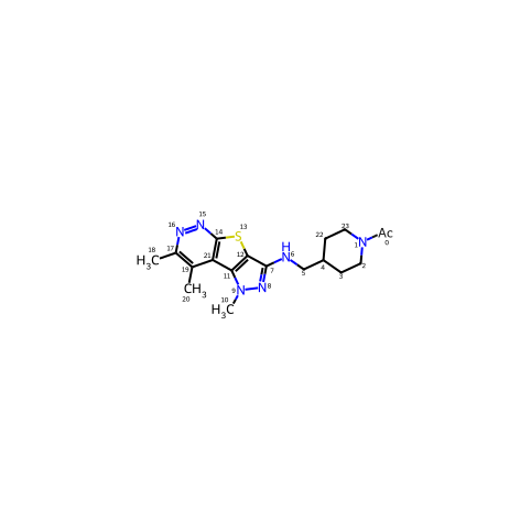 CC(=O)N1CCC(CNc2nn(C)c3c2sc2nnc(C)c(C)c23)CC1